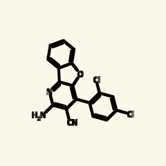 N#Cc1c(N)nc2c(oc3ccccc32)c1-c1ccc(Cl)cc1Cl